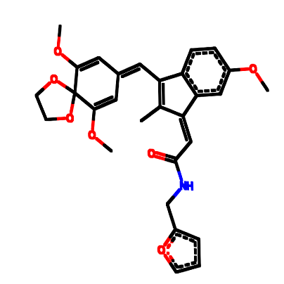 COC1=CC(=CC2=C(C)/C(=C\C(=O)NCc3ccco3)c3cc(OC)ccc32)C=C(OC)C12OCCO2